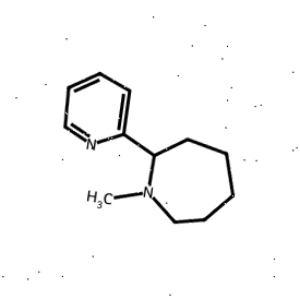 CN1CCCCCC1c1ccccn1